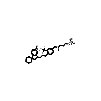 O=[PH](O)OCCCNCc1ccc(CCCCCC2(c3ccc(F)cc3)CCCCC2)c(C(F)(F)C(F)(F)F)c1